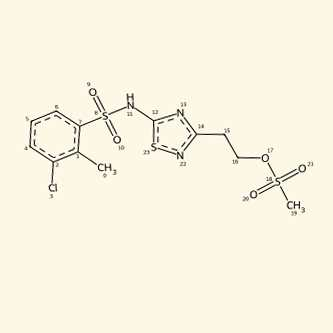 Cc1c(Cl)cccc1S(=O)(=O)Nc1nc(CCOS(C)(=O)=O)ns1